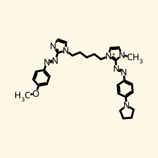 COc1ccc(/N=N/c2nccn2CCCCC[n+]2ccn(C)c2/N=N/c2ccc(N3CCCC3)cc2)cc1